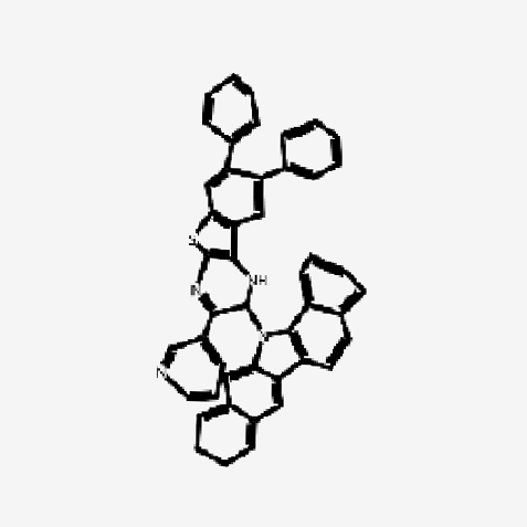 C1=c2cc3c4ccc5ccccc5c4n(C4Nc5c(sc6cc(-c7ccccc7)c(-c7ccccc7)cc56)N=C4c4cccnc4)c3cc2=CCC1